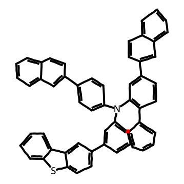 c1ccc(-c2ccc(-c3ccc4ccccc4c3)cc2N(c2ccc(-c3ccc4ccccc4c3)cc2)c2cccc(-c3ccc4sc5ccccc5c4c3)c2)cc1